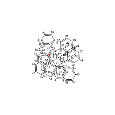 c1ccc(C(c2ccccc2)(c2ccccc2)C(c2ccccc2)([PH](c2ccccc2)(c2ccccc2)c2ccccc2)[PH](c2ccccc2)(c2ccccc2)c2ccccc2)cc1